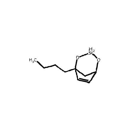 CCCCC12C=CC(C1)O[SiH2]O2